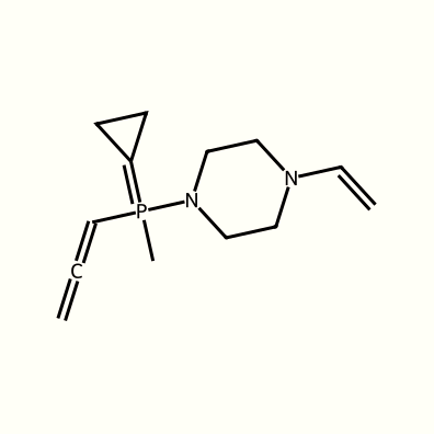 C=C=CP(C)(=C1CC1)N1CCN(C=C)CC1